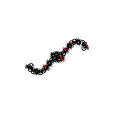 C=CC(=O)OCOc1ccc(OCOc2ccc(-c3ccc(OCOc4ccc5ccccc5c4-c4c(OCOc5ccc(-c6ccc(OCOc7ccc(OCOC(=O)C=C)cc7)cc6)cc5)ccc5ccccc45)cc3)cc2)cc1